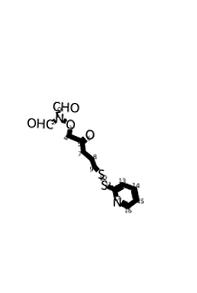 O=CN(C=O)OCC(=O)CCCSSc1ccccn1